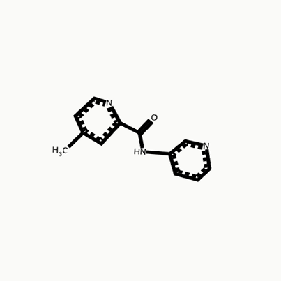 Cc1ccnc(C(=O)Nc2cccnc2)c1